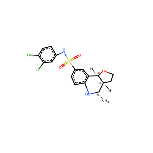 C[C@@H]1Nc2ccc(S(=O)(=O)Nc3ccc(Cl)c(Cl)c3)cc2[C@H]2OCC[C@@H]12